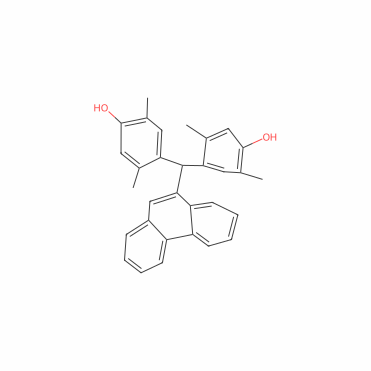 Cc1cc(C(c2cc(C)c(O)cc2C)c2cc3ccccc3c3ccccc23)c(C)cc1O